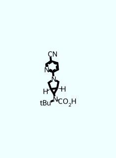 CC(C)(C)N(C(=O)O)C1[C@H]2CN(c3ccc(C#N)cn3)C[C@@H]12